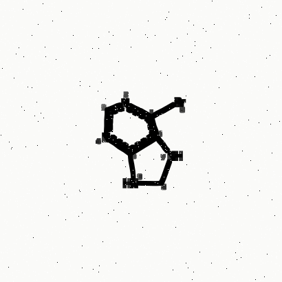 Brc1ncnc2c1NCN2